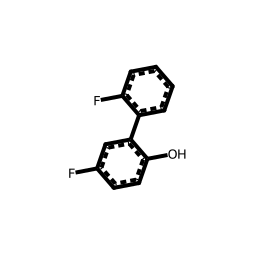 Oc1ccc(F)cc1-c1ccccc1F